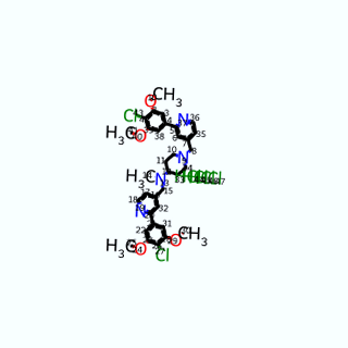 COc1cc(-c2cc(CN3CCC(N(C)Cc4ccnc(-c5cc(OC)c(Cl)c(OC)c5)c4)CC3)ccn2)cc(OC)c1Cl.Cl.Cl.Cl.Cl